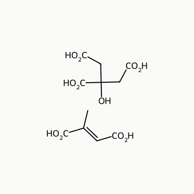 CC(=CC(=O)O)C(=O)O.O=C(O)CC(O)(CC(=O)O)C(=O)O